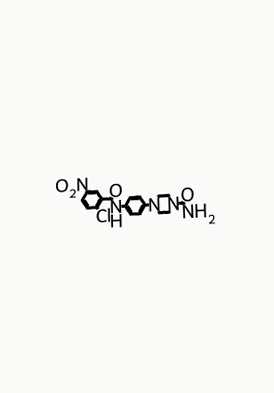 NC(=O)N1CCN(c2ccc(NC(=O)c3cc([N+](=O)[O-])ccc3Cl)cc2)CC1